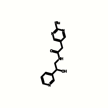 CC(C)(C)c1ncc(CC(=O)NCC(O)c2cccnc2)cn1